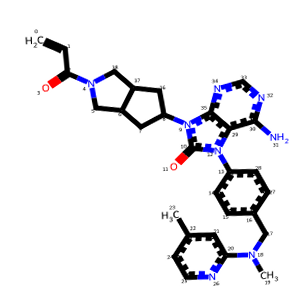 C=CC(=O)N1CC2CC(n3c(=O)n(-c4ccc(CN(C)c5cc(C)ccn5)cc4)c4c(N)ncnc43)CC2C1